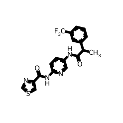 CC(C(=O)Nc1ccc(NC(=O)c2cscn2)nc1)c1cccc(C(F)(F)F)c1